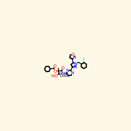 COC(O)C(C)(OC(=O)c1ccccc1)C(=O)Nc1ccnc(-c2cc(-c3ccon3)n(Cc3ccccc3F)n2)n1